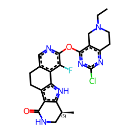 CCN1CCc2nc(Cl)nc(Oc3ncc4c(c3F)-c3[nH]c5c(c3CC4)C(=O)NC[C@@H]5C)c2C1